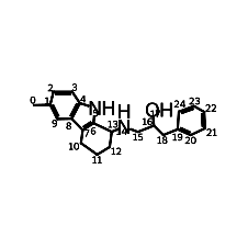 Cc1ccc2[nH]c3c(c2c1)CCCC3NCC(O)Cc1ccccc1